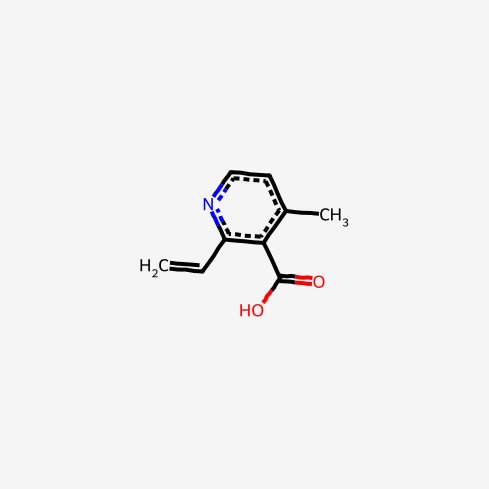 C=Cc1nccc(C)c1C(=O)O